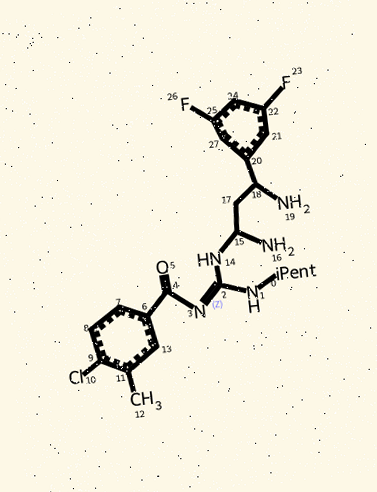 CCCC(C)N/C(=N/C(=O)c1ccc(Cl)c(C)c1)NC(N)CC(N)c1cc(F)cc(F)c1